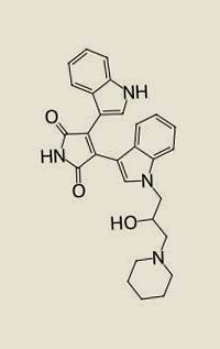 O=C1NC(=O)C(c2cn(CC(O)CN3CCCCC3)c3ccccc23)=C1c1c[nH]c2ccccc12